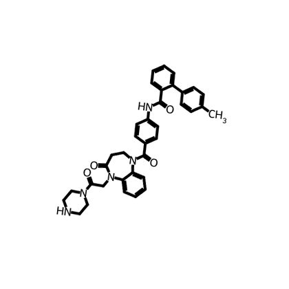 Cc1ccc(-c2ccccc2C(=O)Nc2ccc(C(=O)N3CCC(=O)N(CC(=O)N4CCNCC4)c4ccccc43)cc2)cc1